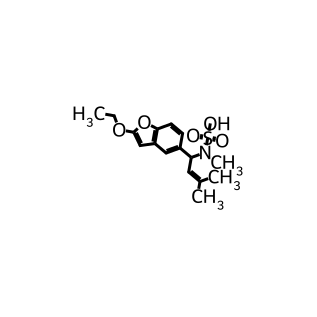 CCOc1cc2cc(C(C=C(C)C)N(C)S(=O)(=O)O)ccc2o1